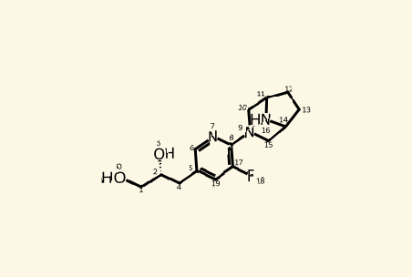 OC[C@H](O)Cc1cnc(N2CC3CCC(C2)N3)c(F)c1